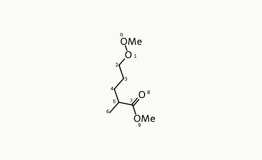 COOCCCC(C)C(=O)OC